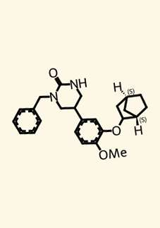 COc1ccc(C2CNC(=O)N(Cc3ccccc3)C2)cc1OC1C[C@H]2CC[C@H]1C2